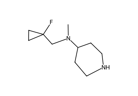 CN(CC1(F)CC1)C1CCNCC1